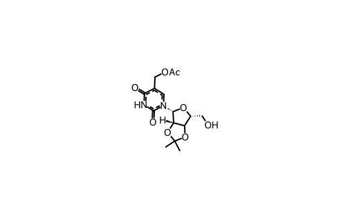 CC(=O)OCc1cn([C@@H]2O[C@H](CO)C3OC(C)(C)O[C@@H]32)c(=O)[nH]c1=O